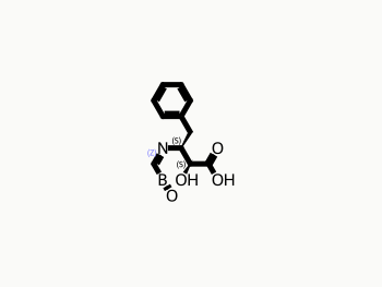 O=B/C=N\[C@@H](Cc1ccccc1)[C@H](O)C(=O)O